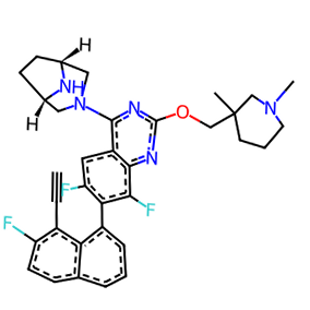 C#Cc1c(F)ccc2cccc(-c3c(F)cc4c(N5C[C@H]6CC[C@@H](C5)N6)nc(OCC5(C)CCCN(C)C5)nc4c3F)c12